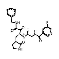 O=C(CNC(=O)c1cncc(F)c1)N[C@@H](C[C@@H]1CCNC1=O)C(=O)C(=O)NCc1ccccc1